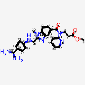 CCOC(=O)CCN(C(=O)c1ccc2c(c1)nc(CNc1ccc(C(N)N)cc1)n2C)c1ccccn1